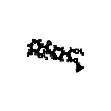 CC/C(=N\OC1CC1)c1ccc(NC(=O)c2cncc(F)c2C)nc1